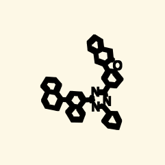 c1ccc(-c2nc(-c3ccc4oc5cc6ccccc6cc5c4c3)nc(-c3ccc(-c4cccc5ccccc45)c4ccccc34)n2)cc1